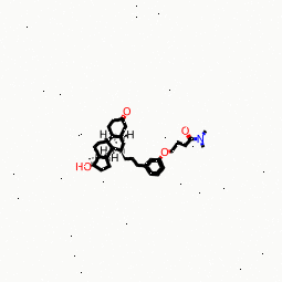 CN(C)C(=O)CCCOc1cccc(CCC[C@@H]2C[C@H]3CC(=O)CC[C@]3(C)[C@H]3CC[C@]4(C)[C@@H](O)CC[C@H]4[C@H]23)c1